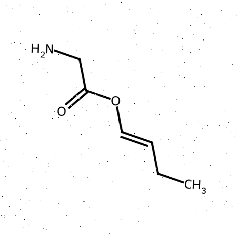 CCC=COC(=O)CN